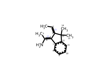 C/C=C1\C(=C(/C)N)c2ccccc2C1(C)C